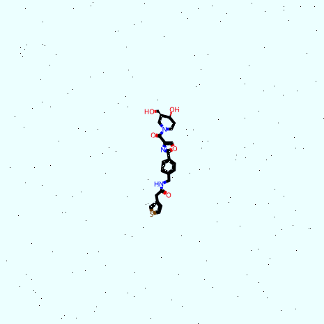 O=C(Cc1ccsc1)NCc1ccc(-c2nc(C(=O)N3CC[C@H](O)[C@H](CO)C3)co2)cc1